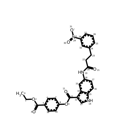 CCOC(=O)c1ccc(OC(=O)c2c[nH]c3ccc(NC(=O)CCc4cccc([N+](=O)[O-])c4)cc23)cc1